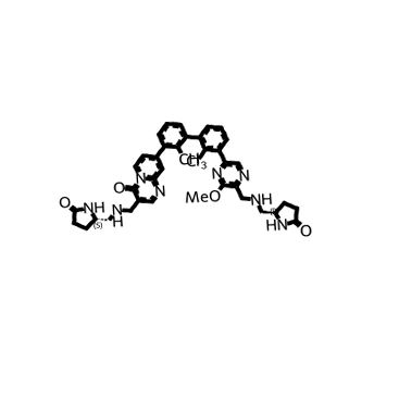 COc1nc(-c2cccc(-c3cccc(-c4ccn5c(=O)c(CNC[C@@H]6CCC(=O)N6)cnc5c4)c3C)c2Cl)cnc1CNC[C@H]1CCC(=O)N1